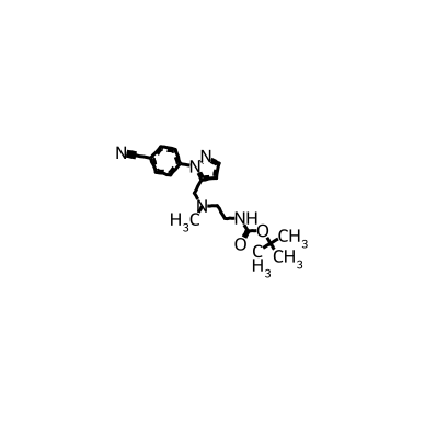 CN(CCNC(=O)OC(C)(C)C)Cc1ccnn1-c1ccc(C#N)cc1